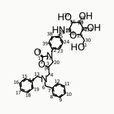 O=C1O[C@H](CN(Cc2ccccc2)Cc2ccccc2)CN1c1ccc(N[C@H]2OC(CO)[C@H](O)[C@@H](O)C2O)cc1